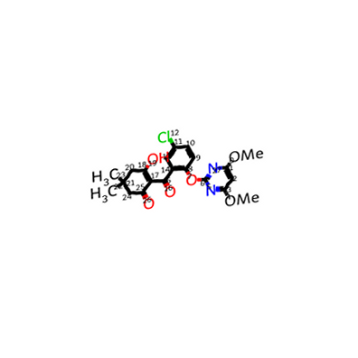 COc1cc(OC)nc(Oc2ccc(Cl)cc2C(=O)C2=C(O)CC(C)(C)CC2=O)n1